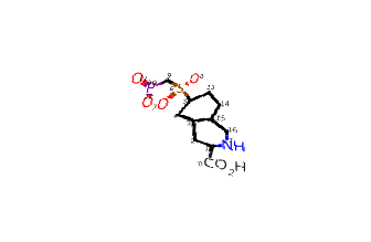 O=C(O)C1CC2CC(S(=O)(=O)CP(=O)=O)CCC2CN1